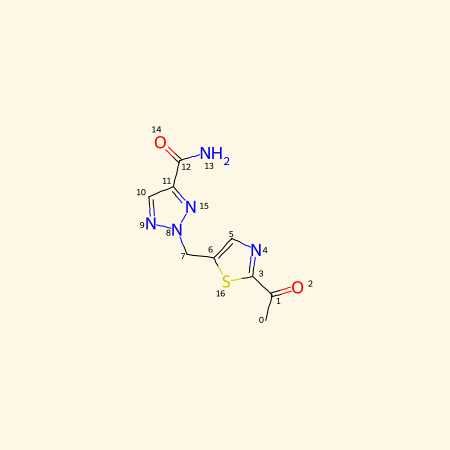 CC(=O)c1ncc(Cn2ncc(C(N)=O)n2)s1